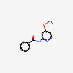 COc1ccnc(NC(=O)c2ccccc2)c1